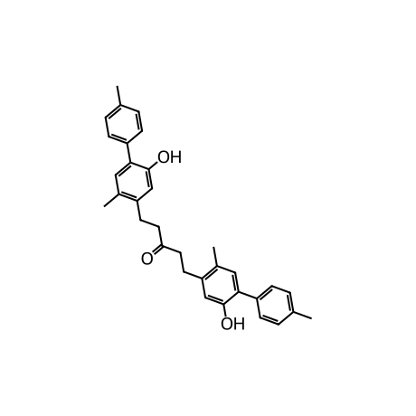 Cc1ccc(-c2cc(C)c(CCC(=O)CCc3cc(O)c(-c4ccc(C)cc4)cc3C)cc2O)cc1